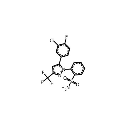 NS(=O)(=O)c1ccccc1-n1nc(C(F)(F)F)cc1-c1ccc(F)c(Cl)c1